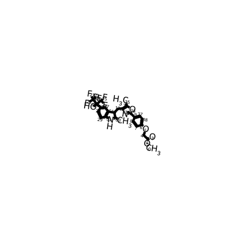 COC(=O)COc1ccc(-c2nc(CC3c4cc(C(O)(C(F)(F)F)C(F)(F)F)ccc4NC3C)c(C)o2)cc1